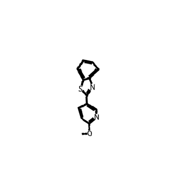 COc1ccc(-c2nc3ccccc3s2)cn1